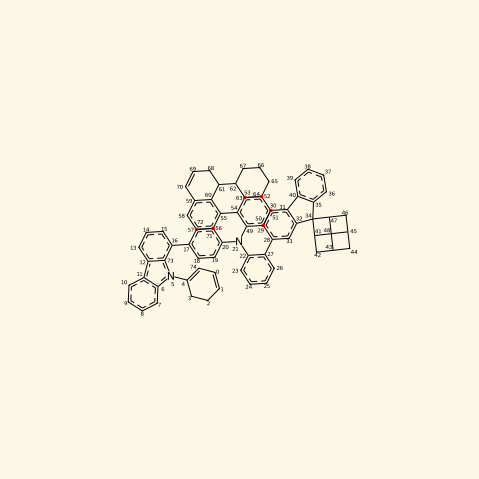 C1=CCCC(n2c3ccccc3c3cccc(-c4ccc(N(c5ccccc5-c5ccc6c(c5)C5(c7ccccc7-6)C6CC7CC8CC5C786)c5ccccc5-c5cccc6c5C(C5CCCCC5)CC=C6)cc4)c32)=C1